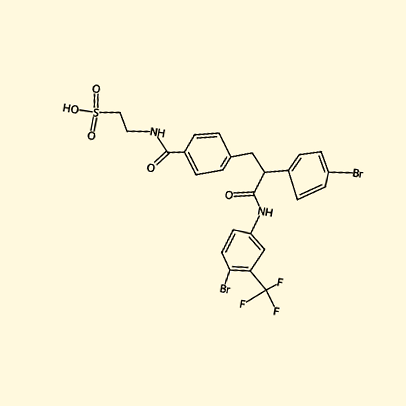 O=C(NCCS(=O)(=O)O)c1ccc(CC(C(=O)Nc2ccc(Br)c(C(F)(F)F)c2)c2ccc(Br)cc2)cc1